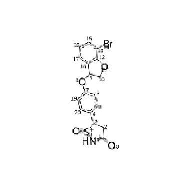 O=C1CC(c2ccc(O[C@@H]3COc4c(Br)cccc43)cc2)[S+]([O-])N1